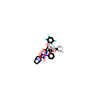 CC(C)(C)OC(=O)C[C@H](NC(=O)C1CC2CCC(C1)N2C(=O)C(=O)Nc1ccccc1C(C)(C)C)C(=O)COc1c(F)c(F)cc(F)c1F